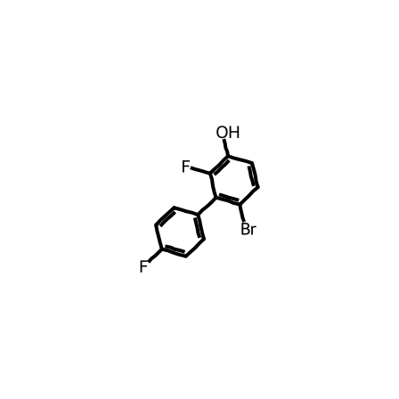 Oc1ccc(Br)c(-c2ccc(F)cc2)c1F